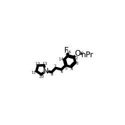 CCCOc1ccc(CCCN2CCCC2)cc1F